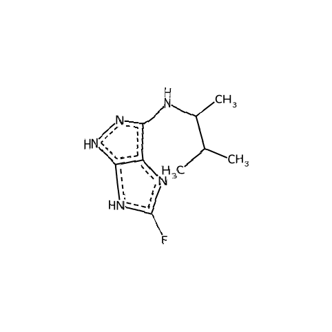 CC(C)C(C)Nc1n[nH]c2[nH]c(F)nc12